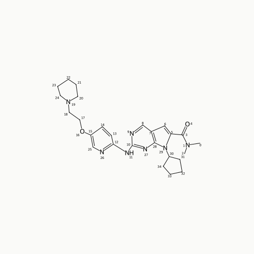 CN(C)C(=O)c1cc2cnc(Nc3ccc(OCCN4CCCCC4)cn3)nc2n1C1CCCC1